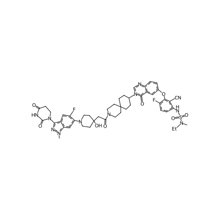 CCN(C)S(=O)(=O)Nc1ccc(F)c(Oc2ccc3ncn(C4CCC5(CC4)CCN(C(=O)CC4(O)CCN(c6cc7c(cc6F)c(N6CCC(=O)NC6=O)nn7C)CC4)CC5)c(=O)c3c2)c1C#N